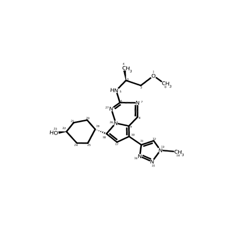 COC[C@H](C)Nc1ncc2c(-c3cn(C)nn3)cc([C@H]3CC[C@H](O)CC3)n2n1